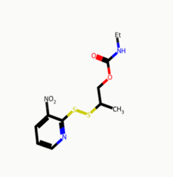 CCNC(=O)OCC(C)SSc1ncccc1[N+](=O)[O-]